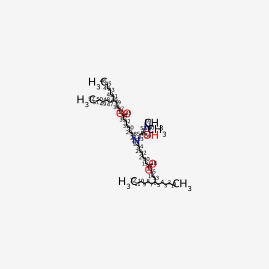 CCCCCCC(CCCCCC)CCCOC(=O)CCCCCCCN(CCCCCCCC(=O)OCCCC(CCCCCC)CCCCCC)CCC(O)CN(C)C